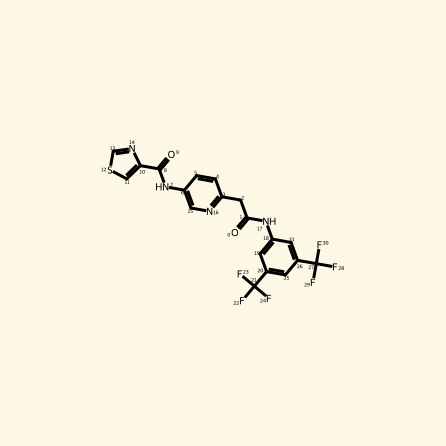 O=C(Cc1ccc(NC(=O)c2cscn2)cn1)Nc1cc(C(F)(F)F)cc(C(F)(F)F)c1